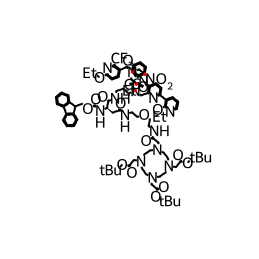 CCOc1ccc(C(=O)N2CCN(c3ccc(-c4cccnc4OCC)nc3CN(CCCNC(=O)[C@@H](CC(=O)NCCOCCNC(=O)CN3CCN(CC(=O)OC(C)(C)C)CCN(CC(=O)OC(C)(C)C)CCN(CC(=O)OC(C)(C)C)CC3)NC(=O)OCC3c4ccccc4-c4ccccc43)S(=O)(=O)c3ccccc3[N+](=O)[O-])[C@H](CC)C2)c(C(F)(F)F)n1